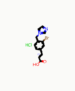 Cl.O=C(O)/C=C/c1ccc(Cn2ccnc2)c(Br)c1